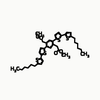 CCCCCCc1ccc(-c2ccc(-c3cc(CC(=O)OC)c(-c4ccc(-c5ccc(CCCCCC)s5)s4)cc3COOC)s2)s1